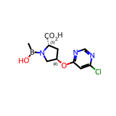 CB(O)N1C[C@H](Oc2cc(Cl)ncn2)C[C@H]1C(=O)O